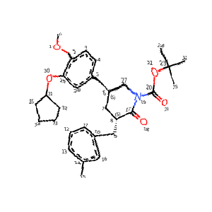 COc1ccc([C@@H]2C[C@@H](Cc3cccc(C)c3)C(=O)N(C(=O)OC(C)(C)C)C2)cc1OC1CCCC1